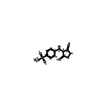 NS(=O)(=O)c1ccc(NN2C(=O)CCC2=O)cc1